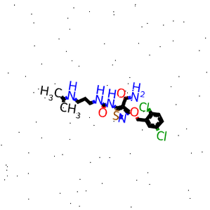 CC(C)NCCCNC(=O)Nc1snc(OCc2cc(Cl)ccc2Cl)c1C(N)=O